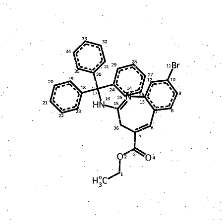 CCOC(=O)C1=Cc2ccc(Br)cc2N=C(NC(c2ccccc2)(c2ccccc2)c2ccccc2)C1